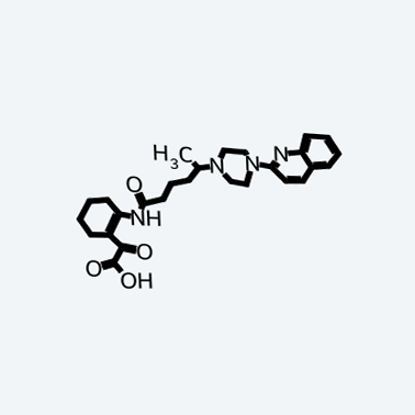 CC(CCCC(=O)NC1=C(C(=O)C(=O)O)CCCC1)N1CCN(c2ccc3ccccc3n2)CC1